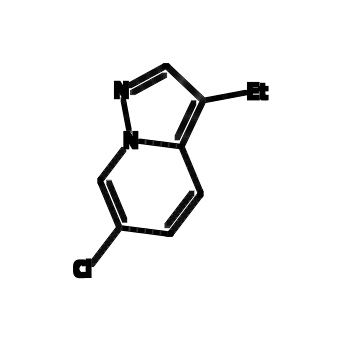 CCc1cnn2cc(Cl)ccc12